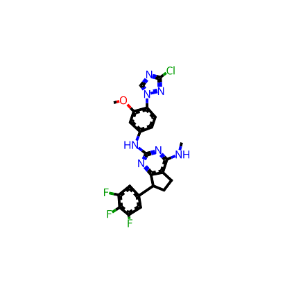 CNc1nc(Nc2ccc(-n3cnc(Cl)n3)c(OC)c2)nc2c1CCC2c1cc(F)c(F)c(F)c1